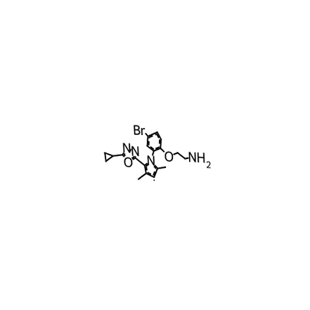 Cc1[c]c(C)n(-c2cc(Br)ccc2OCCN)c1-c1nnc(C2CC2)o1